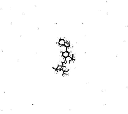 CC(C)CC(C)(COc1ccc(-c2cnn3cccnc23)cc1C(F)(F)F)NC(=O)O